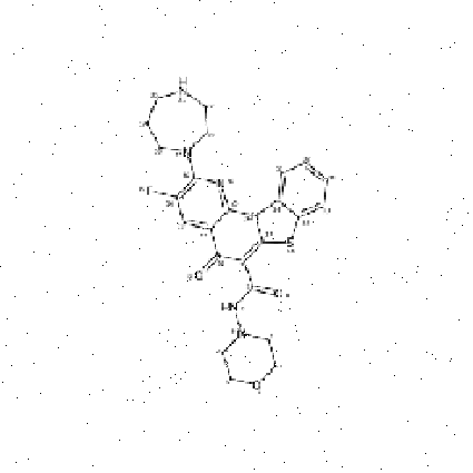 O=C(NN1CCOCC1)c1c(=O)c2cc(F)c(N3CCCNCC3)nc2n2c1sc1ccccc12